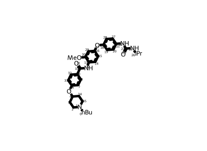 CCCCN1CCC(Oc2ccc(C(=O)Nc3ccc(Oc4ccc(NC(=O)NC(C)C)cc4)cc3OC)cc2)CC1